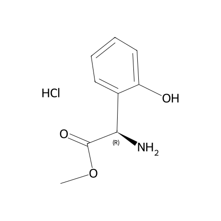 COC(=O)[C@H](N)c1ccccc1O.Cl